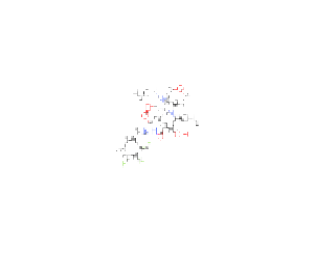 CCN(C=O)[C@@H]1COCC[C@@H]1n1cc(C(=O)NCc2ccc(F)c(F)c2F)c(=O)c(O)c1C